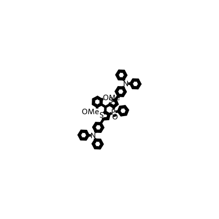 COc1cccc(OC)c1C1c2sc(-c3ccc(N(c4ccccc4)c4ccccc4)cc3)cc2P(=O)(c2ccccc2)c2cc(-c3ccc(N(c4ccccc4)c4ccccc4)cc3)sc21